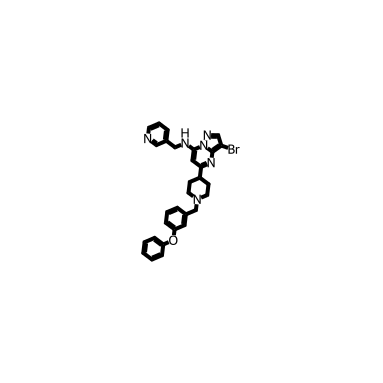 Brc1cnn2c(NCc3cccnc3)cc(C3CCN(Cc4cccc(Oc5ccccc5)c4)CC3)nc12